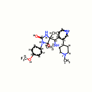 CN1CCC(c2cnccc2C(NC=O)C2(C)NC(=O)N(c3ccc(OC(F)(F)F)cc3)C2=O)CC1